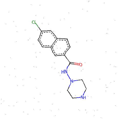 O=C(NN1CCNCC1)c1ccc2cc(Cl)ccc2c1